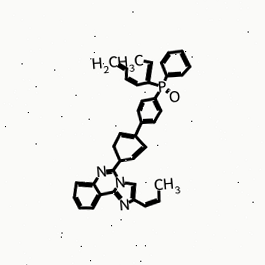 C=C/C=C\C(=C/C)P(=O)(c1ccccc1)c1ccc(C2=CCC(c3nc4ccccc4c4nc(/C=C\C)cn34)C=C2)cc1